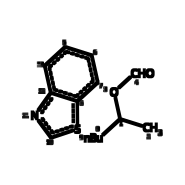 CCCCC(C)OC=O.c1ccc2scnc2c1